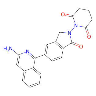 Nc1cc2ccccc2c(-c2ccc3c(c2)CN(N2C(=O)CCCC2=O)C3=O)n1